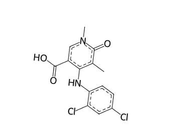 Cc1c(Nc2ccc(Cl)cc2Cl)c(C(=O)O)cn(C)c1=O